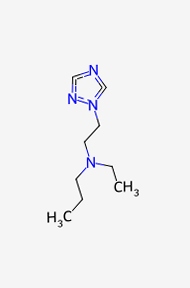 CCCN(CC)CCn1cncn1